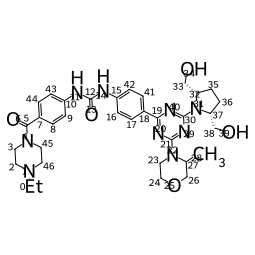 CCN1CCN(C(=O)c2ccc(NC(=O)Nc3ccc(-c4nc(N5CCOCC5C)nc(N5[C@H](CO)CC[C@@H]5CO)n4)cc3)cc2)CC1